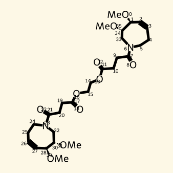 CO[C@H]1C#CCCN(C(=O)CCC(=O)OCCOC(=O)CCC(=O)N2CCC#C[C@H](OC)[C@@H](OC)C2)C[C@@H]1OC